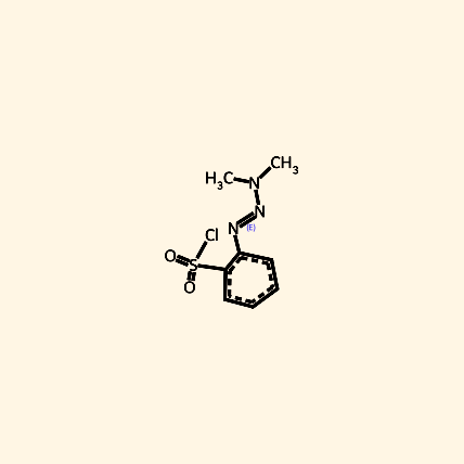 CN(C)/N=N/c1ccccc1S(=O)(=O)Cl